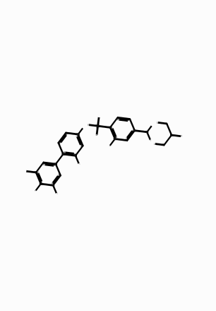 CC1COC(c2ccc(C(F)(F)Oc3ccc(-c4cc(F)c(F)c(F)c4)c(F)c3)c(F)c2)OC1